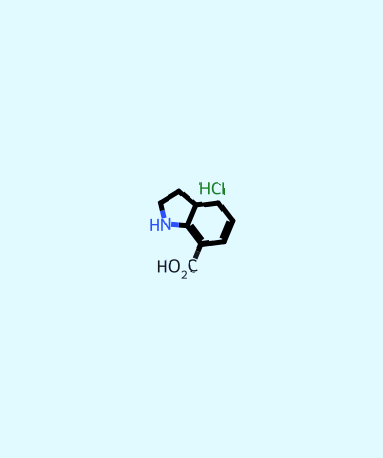 Cl.O=C(O)C1=C2NCCC2CC=C1